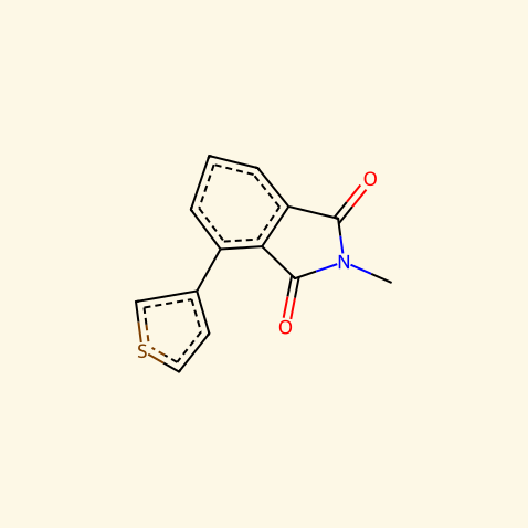 CN1C(=O)c2cccc(-c3ccsc3)c2C1=O